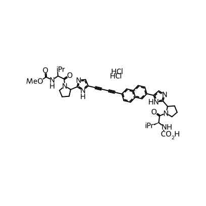 COC(=O)NC(C(=O)N1CCCC1c1ncc(C#CC#Cc2ccc3cc(-c4cnc(C5CCCN5C(=O)[C@@H](NC(=O)O)C(C)C)[nH]4)ccc3c2)[nH]1)C(C)C.Cl.Cl